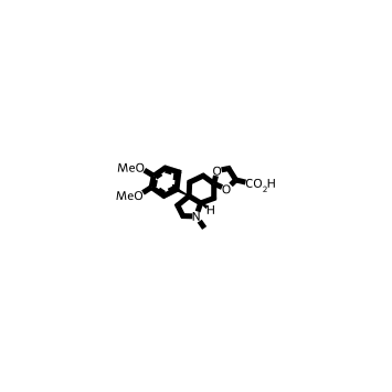 COc1ccc([C@]23CCN(C)[C@H]2CC2(CC3)OCC(C(=O)O)O2)cc1OC